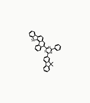 CC1(C)c2ccccc2-c2ccc(-c3nc(-c4ccccc4)nc(-c4cc5ccc6c7ccccc7[se]c6c5c5ccccc45)n3)cc21